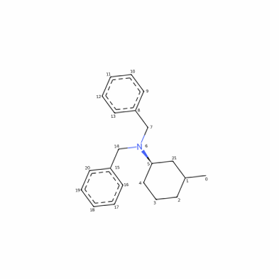 CC1CCC[C@@H](N(Cc2ccccc2)Cc2ccccc2)C1